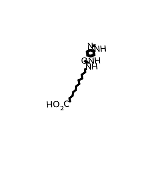 O=C(O)CCCCCCCCCCCCNC(=O)Nc1ccc2nc[nH]c2c1